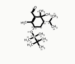 CC1=C(C=O)C(C)(C)[C@H](C(C)C)C[C@@H]1O[Si](C)(C)C(C)(C)C